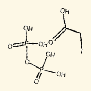 O=C(O)CI.O=P(O)(O)OP(=O)(O)O